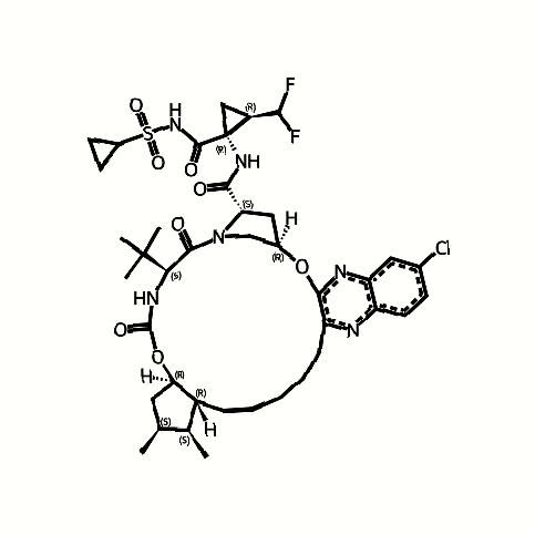 C[C@@H]1[C@H]2CCCCCc3nc4ccc(Cl)cc4nc3O[C@@H]3C[C@@H](C(=O)N[C@]4(C(=O)NS(=O)(=O)C5CC5)C[C@H]4C(F)F)N(C3)C(=O)[C@H](C(C)(C)C)NC(=O)O[C@@H]2C[C@@H]1C